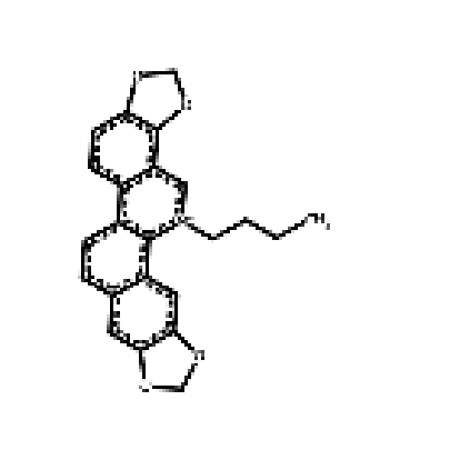 CCCC[n+]1cc2c3c(ccc2c2ccc4cc5c(cc4c21)OCO5)OCO3